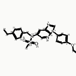 CCOc1ccc(-n2cnc3cc(N(Cc4ccc(CC)cc4)S(C)(=O)=O)cnc32)cc1